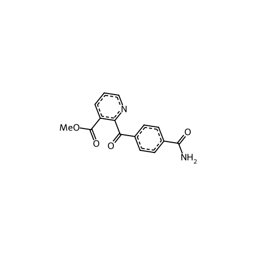 COC(=O)c1cccnc1C(=O)c1ccc(C(N)=O)cc1